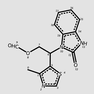 Cc1ncsc1C(COC=O)n1c(=O)[nH]c2ccccc21